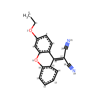 CCOc1ccc2c(c1)Oc1ccccc1C2=C(C#N)C#N